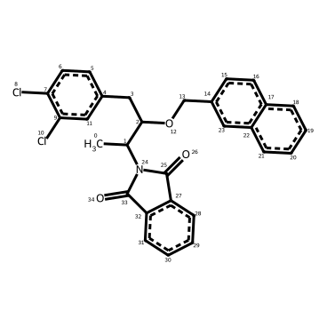 CC(C(Cc1ccc(Cl)c(Cl)c1)OCc1ccc2ccccc2c1)N1C(=O)c2ccccc2C1=O